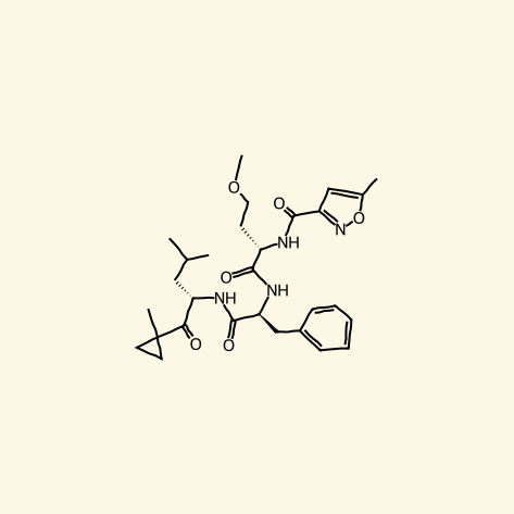 COCC[C@H](NC(=O)c1cc(C)on1)C(=O)N[C@@H](Cc1ccccc1)C(=O)N[C@@H](CC(C)C)C(=O)C1(C)CC1